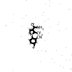 N#Cc1cc(F)ccc1-n1ncc(C(N)=O)c1C(F)(F)F